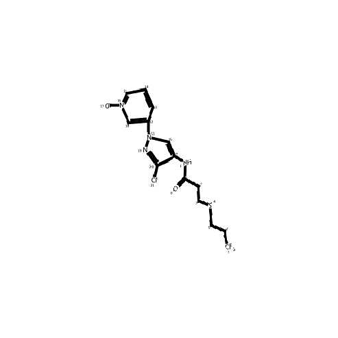 O=C(CCSCCC(F)(F)F)Nc1cn(-c2ccc[n+]([O-])c2)nc1Cl